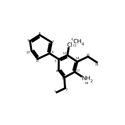 C.CCc1cc(-c2ccccc2)c(Cl)c(CC)c1N